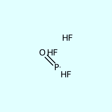 F.F.F.O=[P]